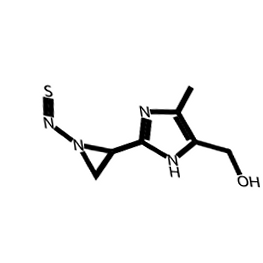 Cc1nc(C2CN2N=S)[nH]c1CO